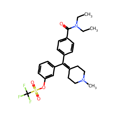 CCN(CC)C(=O)c1ccc(C(=C2CCN(C)CC2)c2cccc(OS(=O)(=O)C(F)(F)F)c2)cc1